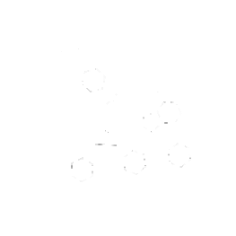 CCOC(=O)C(C)(C)Cc1ccc(S(=O)(=O)CCc2c(CCNS(=O)(=O)Cc3ccc(Cl)c(Cl)c3)n(C(c3ccccc3)c3ccccc3)c3cccc(Cl)c23)cc1